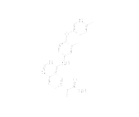 Cc1ccc(Oc2ccc(Nc3ncnc4ccc(C(C)C(N)=O)cc34)cc2C)cn1